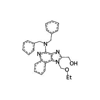 CCOCn1c(CO)nc2c(N(Cc3ccccc3)Cc3ccccc3)nc3ccccc3c21